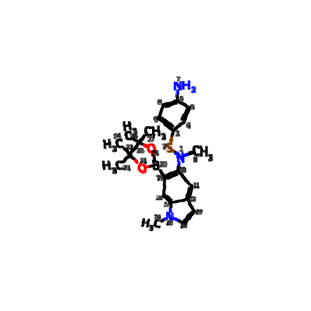 CN(Sc1ccc(N)cc1)c1cc2ccn(C)c2cc1B1OC(C)(C)C(C)(C)O1